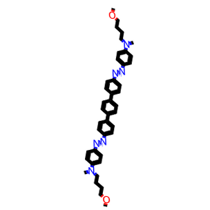 COCCCCN(C)c1ccc(/N=N/c2ccc(-c3ccc(-c4ccc(/N=N/c5ccc(N(C)CCCCOC)cc5)cc4)cc3)cc2)cc1